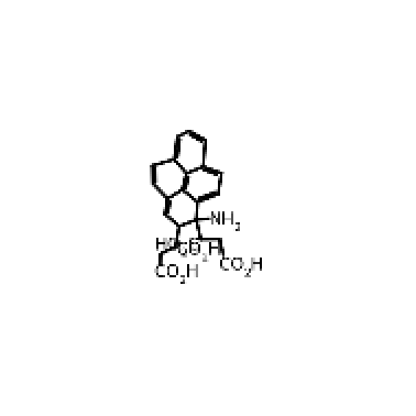 NC1(C(CC(=O)O)C(=O)O)c2ccc3cccc4ccc(c2c34)=CC1C(CC(=O)O)C(=O)O